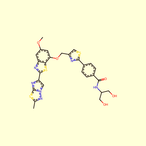 COc1cc(OCc2csc(-c3ccc(C(=O)NC(CO)CO)cc3)n2)c2sc(-c3cn4nc(C)sc4n3)nc2c1